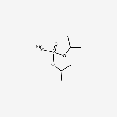 CC(C)OP(=O)([S-])OC(C)C.[Na+]